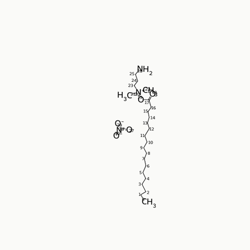 CCCCCCCCCCCCCCCCCC(=O)O[N+](C)(C)CCCN.O=[N+]([O-])[O-]